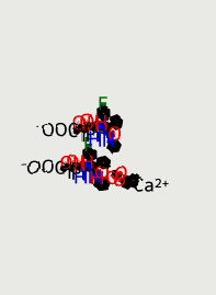 CC(C)c1c(C(=O)Nc2ccccc2)c(-c2ccccc2)c(-c2ccc(F)cc2)n1CC[C@@H](O)C[C@@H](O)CC(=O)[O-].CC(C)c1c(C(=O)Nc2ccccc2)c(-c2ccccc2)c(-c2ccc(F)cc2)n1CC[C@@H](O)C[C@@H](O)CC(=O)[O-].CC(O)C(=O)Oc1ccc2ccccc2c1.[Ca+2]